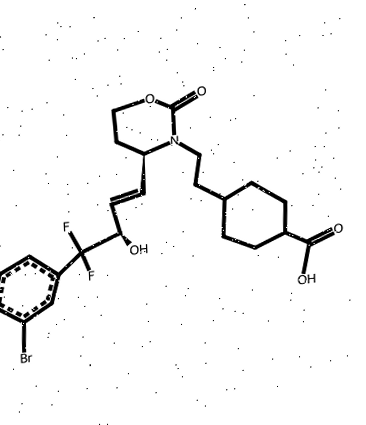 O=C(O)C1CCC(CCN2C(=O)OCC[C@@H]2C=C[C@@H](O)C(F)(F)c2cccc(Br)c2)CC1